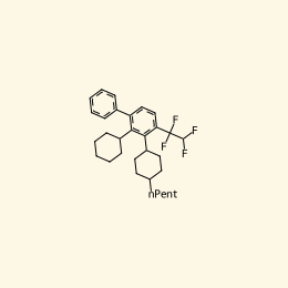 CCCCCC1CCC(c2c(C(F)(F)C(F)F)ccc(-c3ccccc3)c2C2CCCCC2)CC1